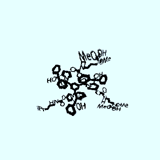 CO[Si](O)(CCCNC(=O)O[C@@H]1C[C@@H](C(O)(c2ccccc2)c2ccccc2)N(C(=O)c2cc(C(=O)N3C[C@H](OC(=O)NCCCC(C)C)C[C@H]3C(O)(c3ccccc3)c3ccccc3)cc(C(=O)N3C[C@H](OC(=O)NCCC[Si](O)(OC)OC)C[C@H]3C(O)(c3ccccc3)c3ccccc3)c2)C1)OC